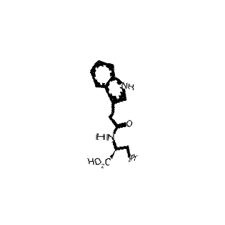 CC(C)C[C@H](NC(=O)Cc1c[nH]c2ccccc12)C(=O)O